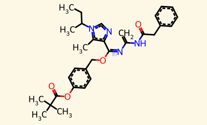 C=C(/N=C(/OCc1ccc(OC(=O)C(C)(C)C)cc1)c1ncn(C(C)CC)c1C)NC(=O)Cc1ccccc1